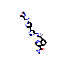 CNC(=O)c1ccnc2c([C@H](C)CNc3cc(-c4ccc(N(C)Cc5cocn5)nc4)ncn3)cccc12